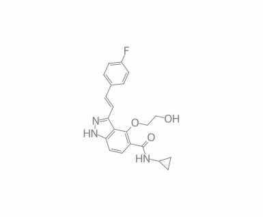 O=C(NC1CC1)c1ccc2[nH]nc(C=Cc3ccc(F)cc3)c2c1OCCO